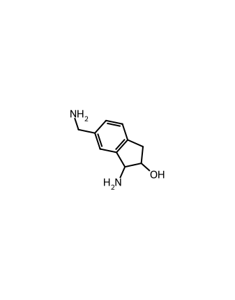 NCc1ccc2c(c1)C(N)C(O)C2